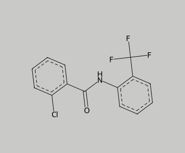 O=C(Nc1ccccc1C(F)(F)F)c1ccccc1Cl